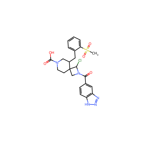 CS(=O)(=O)c1ccccc1CC1CN(C(=O)O)CCC12CN(C(=O)c1ccc3[nH]nnc3c1)C2Cl